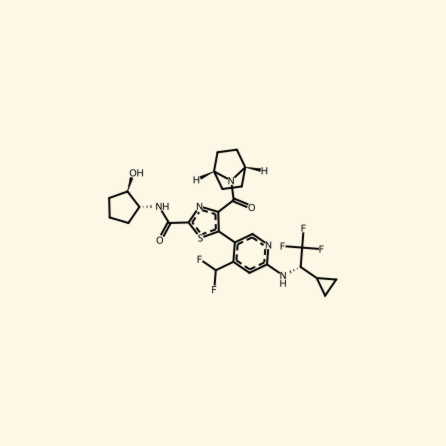 O=C(N[C@@H]1CCC[C@H]1O)c1nc(C(=O)N2[C@H]3CC[C@@H]2CC3)c(-c2cnc(N[C@@H](C3CC3)C(F)(F)F)cc2C(F)F)s1